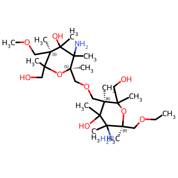 CCOC[C@]1(C)OC(C)(CO)[C@](C)(COC[C@@]2(C)OC(C)(CO)[C@@](C)(COC)C(C)(O)C2(C)N)C(C)(O)C1(C)N